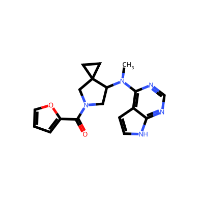 CN(c1ncnc2[nH]ccc12)C1CN(C(=O)c2ccco2)CC12CC2